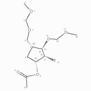 COCOC[C@H]1C[C@@H](OC(C)=O)[C@H](F)[C@@H]1OCOC